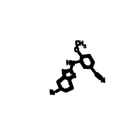 COc1ccc(C#N)cc1Nc1nc2cc(Br)ccc2s1